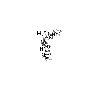 Cc1nc(N2CC3(CCC3)C2)ncc1Cn1cc(C(=O)N[C@@H]2CCc3c2ncn3C)cn1